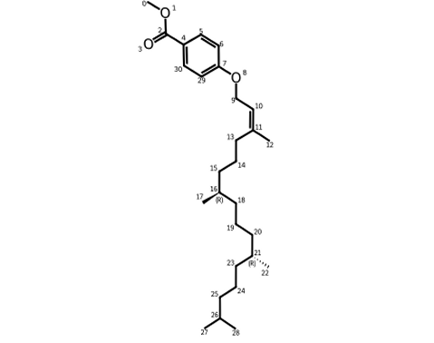 COC(=O)c1ccc(OCC=C(C)CCC[C@H](C)CCC[C@H](C)CCCC(C)C)cc1